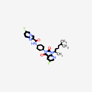 CC(C)CCCC(C)n1c(=O)n([C@H]2CC[C@@H](NC(=O)c3cn4cc(F)ccc4n3)CC2)c(=O)c2cc(F)cnc21